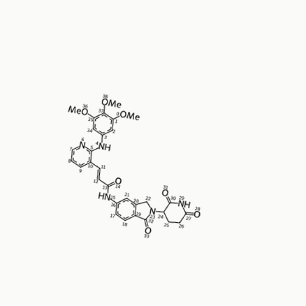 COc1cc(Nc2ncccc2/C=C/C(=O)Nc2ccc3c(c2)CN(C2CCC(=O)NC2=O)C3=O)cc(OC)c1OC